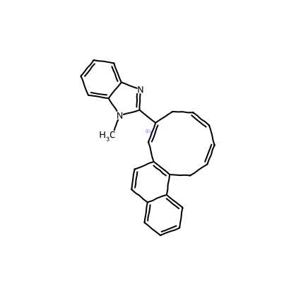 Cn1c(/C2=C/c3ccc4ccccc4c3CC=CC=CC2)nc2ccccc21